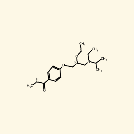 CCO[C@H](COc1ccc(C(=O)NC)cc1)CN(CC)C(C)C